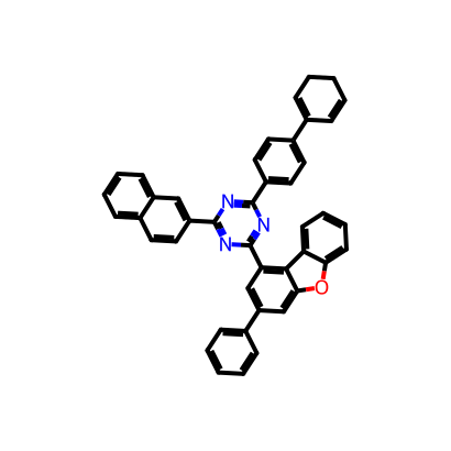 C1=CC(c2ccc(-c3nc(-c4ccc5ccccc5c4)nc(-c4cc(-c5ccccc5)cc5oc6ccccc6c45)n3)cc2)=CCC1